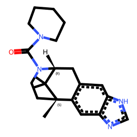 CC1(C)[C@H]2Cc3cc4[nH]cnc4cc3[C@]1(C)CCN2C(=O)N1CCCCC1